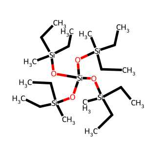 CC[Si](C)(CC)O[Si](O[Si](C)(CC)CC)(O[Si](C)(CC)CC)O[Si](C)(CC)CC